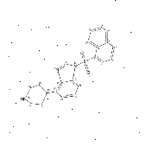 O=S(=O)(c1cccc2ccccc12)n1cnc2c(N3CCNCC3)cccc21